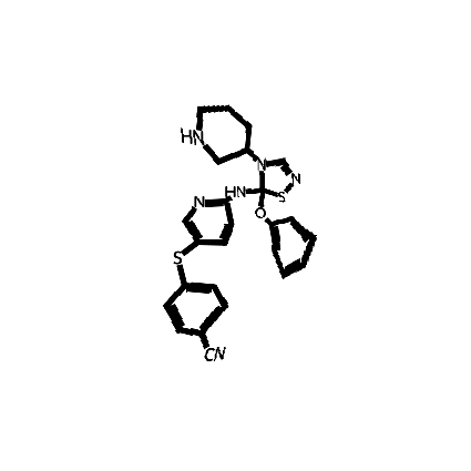 N#Cc1ccc(Sc2ccc(NC3(Oc4ccccc4)SN=CN3C3CCCNC3)nc2)cc1